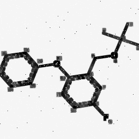 CC(C)(C)OCc1cc(F)ccc1Oc1ccccc1